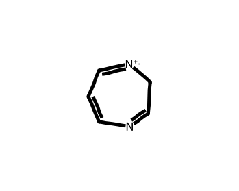 C1=CN=CC[N+]=C1